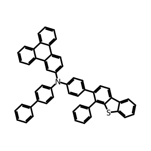 c1ccc(-c2ccc(N(c3ccc(-c4ccc5c(sc6ccccc65)c4-c4ccccc4)cc3)c3ccc4c5ccccc5c5ccccc5c4c3)cc2)cc1